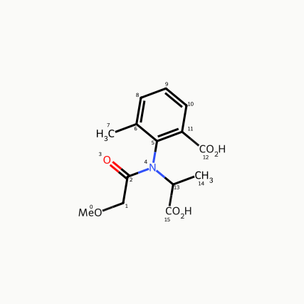 COCC(=O)N(c1c(C)cccc1C(=O)O)C(C)C(=O)O